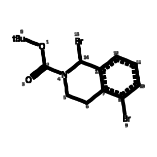 CC(C)(C)OC(=O)N1CCc2c(Br)cccc2C1Br